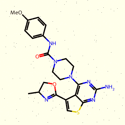 COc1ccc(NC(=O)N2CCN(c3nc(N)nc4scc(C5=NC(C)CO5)c34)CC2)cc1